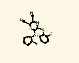 N#Cc1nc(Nc2ccccc2F)c(Nc2ccccc2F)nc1C#N